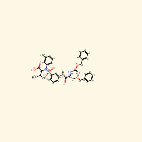 CC(C)C(C(=O)O)N(c1cccc(Cl)c1)S(=O)(=O)c1cccc([AsH]C(=O)[C@@H](COCc2ccccc2)NC(=O)OCc2ccccc2)c1